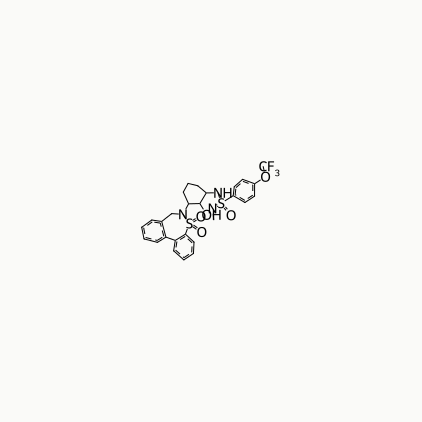 CN=S(=O)(NC1CCCC(N2Cc3ccccc3-c3ccccc3S2(=O)=O)C1O)c1ccc(OC(F)(F)F)cc1